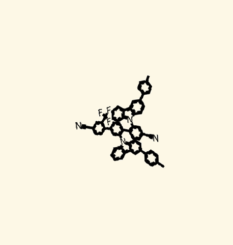 Cc1ccc(-c2ccc3c(c2)c2ccccc2n3-c2cc(C#N)ccc2-c2ccc(-c3ccc(C#N)cc3C(F)(F)F)cc2-n2c3ccccc3c3cc(-c4ccc(C)cc4)ccc32)cc1